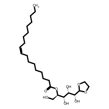 CCCCCCCC/C=C\CCCCCCCC(=O)O[C@H](CO)[C@@H](O)[C@H](O)[C@@H](O)C1OCCO1